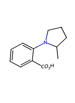 CC1CCCN1c1ccccc1C(=O)O